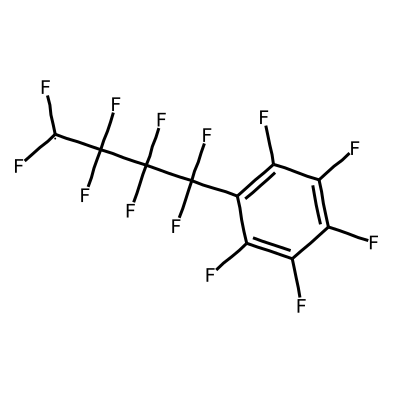 F[C](F)C(F)(F)C(F)(F)C(F)(F)c1c(F)c(F)c(F)c(F)c1F